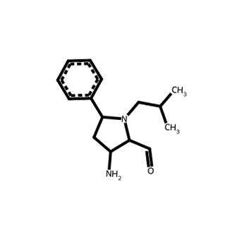 CC(C)CN1C(c2ccccc2)CC(N)C1C=O